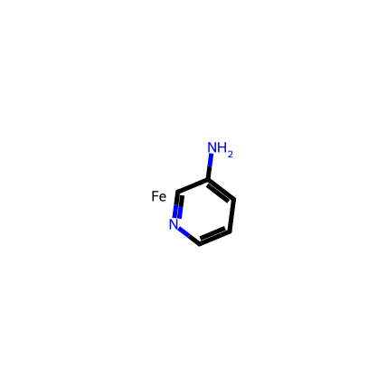 Nc1cccnc1.[Fe]